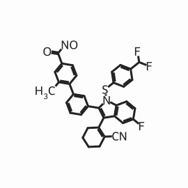 Cc1cc(C(=O)N=O)ccc1-c1cccc(-c2c(C3=C(C#N)CCCC3)c3cc(F)ccc3n2Sc2ccc(C(F)F)cc2)c1